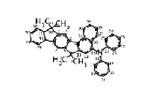 CC1(C)c2cc3c(cc2-c2c1cc(N(c1ccccc1)c1ccccc1)c1ccccc21)C(C)(C)C1C=CC=CC31